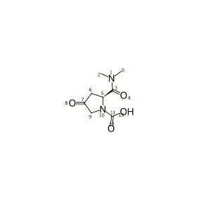 CN(C)C(=O)[C@@H]1CC(=O)CN1C(=O)O